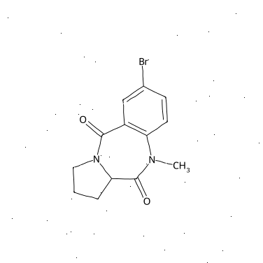 CN1C(=O)C2CCCN2C(=O)c2cc(Br)ccc21